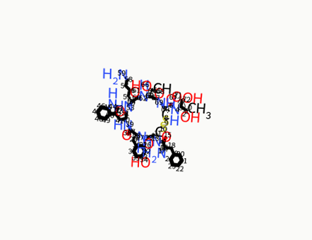 CC(O)[C@H](NC(=O)[C@@H]1CSSCC(NC(=O)[C@H](N)Cc2ccccc2)C(=O)N[C@@H](Cc2ccc(O)cc2)C(=O)NC(Cc2c[nH]c3ccccc23)C(=O)N[C@@H](CCCCN)C(=O)N[C@@H](C(C)O)C(=O)N1)C(=O)O